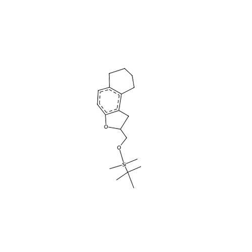 CC(C)(C)[Si](C)(C)OCC1Cc2c(ccc3c2CCCC3)O1